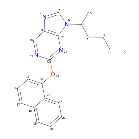 CCCCC(C)n1cnc2cnc(Oc3cccc4ccccc34)nc21